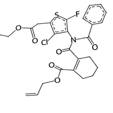 C=CCOC(=O)C1=C(C(=O)N(C(=O)c2ccccc2)c2c(F)sc(CC(=O)OCC)c2Cl)CCCC1